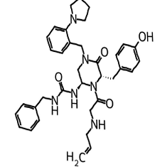 C=CCNCC(=O)N1[C@@H](NC(=O)NCc2ccccc2)CN(Cc2ccccc2N2CCCC2)C(=O)[C@@H]1Cc1ccc(O)cc1